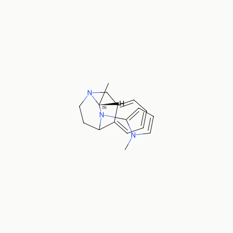 C[C@H]1N2CCC(c3ccccc3C2)N1c1cccn1C